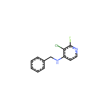 Fc1nccc(NCc2ccccc2)c1Cl